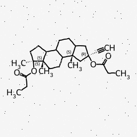 C#C[C@@]1(OC(=O)CC)CC2CCC3C(CC[C@@]4(C)C3CC[C@]4(C)OC(=O)CC)[C@@]2(C)C1